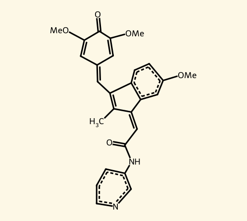 COC1=CC(=CC2=C(C)/C(=C\C(=O)Nc3cccnc3)c3cc(OC)ccc32)C=C(OC)C1=O